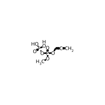 C=C=COP(=O)(OC)OP(=O)(O)O